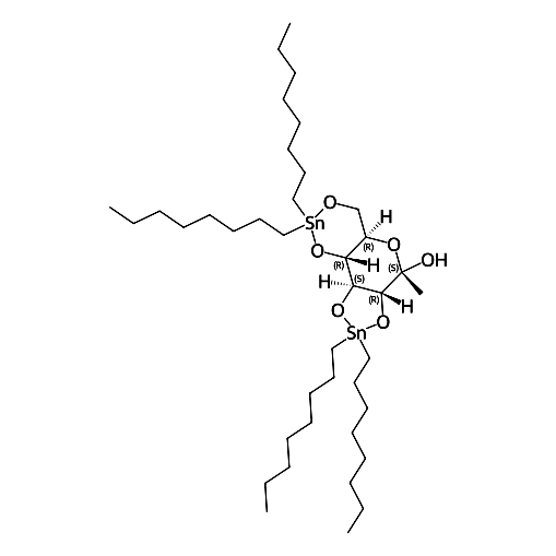 CCCCCCC[CH2][Sn]1([CH2]CCCCCCC)[O]C[C@H]2O[C@](C)(O)[C@@H]3[O][Sn]([CH2]CCCCCCC)([CH2]CCCCCCC)[O][C@H]3[C@@H]2[O]1